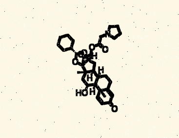 C[C@]12C=CC(=O)C=C1CC[C@@H]1[C@@H]2[C@@H](O)C[C@@]2(C)[C@H]1C[C@H]1O[C@@H](C3CCCCC3)O[C@]12C(=O)COC(=O)CN1CCCC1